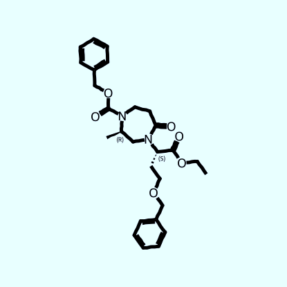 CCOC(=O)[C@H](CCOCc1ccccc1)N1C[C@@H](C)N(C(=O)OCc2ccccc2)CCC1=O